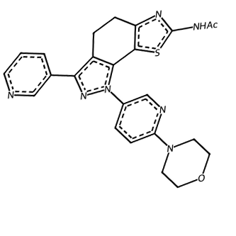 CC(=O)Nc1nc2c(s1)-c1c(c(-c3cccnc3)nn1-c1ccc(N3CCOCC3)nc1)CC2